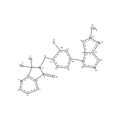 [2H]C1([2H])c2ncccc2C(=O)N1Cc1ccc(-c2cncc3nn(C)cc23)cc1F